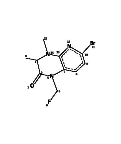 CC1C(=O)N(CF)c2ccc(Br)nc2N1C